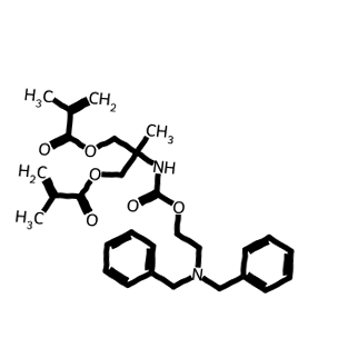 C=C(C)C(=O)OCC(C)(COC(=O)C(=C)C)NC(=O)OCCN(Cc1ccccc1)Cc1ccccc1